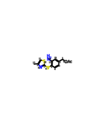 CC(=O)OCc1ccc(Sc2nc(C)cs2)c(N)c1